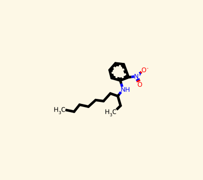 CCCCCCCC(CC)Nc1ccccc1[N+](=O)[O-]